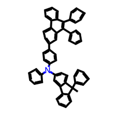 CC1(c2ccccc2)c2ccccc2-c2cc(N(c3ccccc3)c3ccc(-c4ccc5c(c4)c(-c4ccccc4)c(-c4ccccc4)c4ccccc45)cc3)ccc21